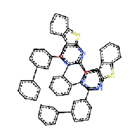 c1ccc(-c2cccc(-c3nc(-c4ccccc4-c4ccccc4-c4ccccc4-c4nc(-c5cccc(-c6ccccc6)c5)c5c(n4)sc4ccccc45)c4c(n3)sc3ccccc34)c2)cc1